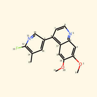 COc1cc2nccc(-c3cnc(F)c(C)c3)c2cc1OC